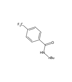 CCCCNC(=O)c1ccc(C(F)(F)F)cc1